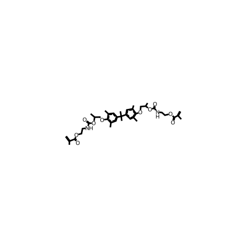 C=C(C)C(=O)OCCNC(=O)OC(C)COc1c(C)cc(C(C)(C)c2cc(C)c(OCC(C)OC(=O)NCCOC(=O)C(=C)C)c(C)c2)cc1C